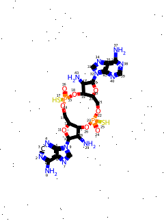 Nc1ncnc2c1ncn2C1OC2COP(=O)(S)OC3C(COP(=O)(S)OC2C1N)OC(n1cnc2c(N)ncnc21)C3N